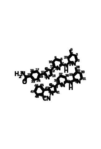 Cc1ccnc(Nc2cccc(-c3cnc(-c4ccc(C(N)=O)cc4)s3)n2)c1.Cc1ccnc(Nc2cccc(-c3cnc(-c4ccccc4C#N)s3)n2)c1